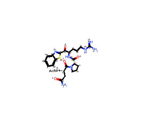 CC(=O)N[C@@H](CC(N)=O)C(=O)N1CCC[C@H]1C(=O)NC(CCCNC(=N)N)C(=O)c1nc2ccccc2s1